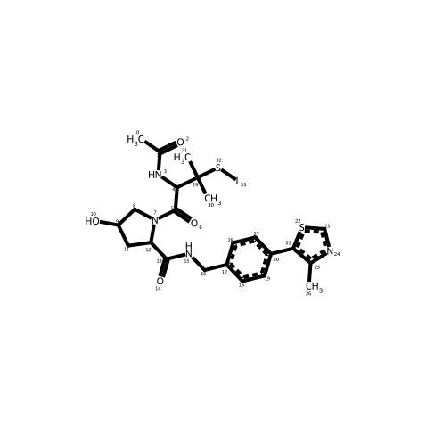 CC(=O)NC(C(=O)N1CC(O)CC1C(=O)NCc1ccc(-c2scnc2C)cc1)C(C)(C)SI